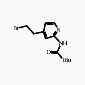 CC(C)(C)C(=O)Nc1cc(CCBr)[c]cn1